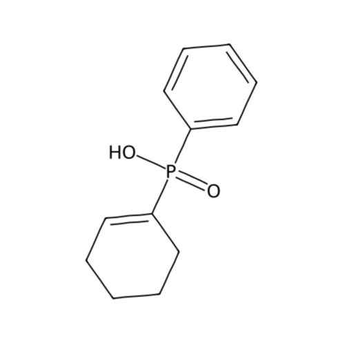 O=P(O)(C1=CCCCC1)c1ccccc1